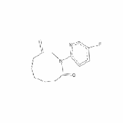 C=C1CCCCCC(=O)N(c2ccc(F)cn2)C1